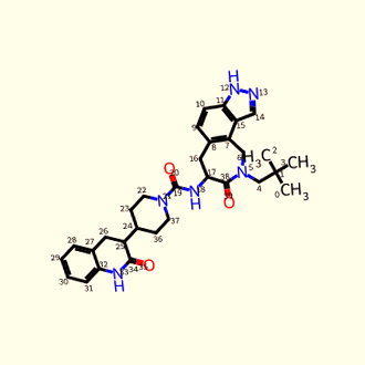 CC(C)(C)CN1Cc2c(ccc3[nH]ncc23)CC(NC(=O)N2CCC(C3Cc4ccccc4NC3=O)CC2)C1=O